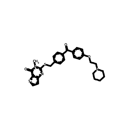 Cn1c(SCc2ccc(C(=O)c3ccc(OCCN4CCCCC4)cc3)cc2)nc2ccsc2c1=O